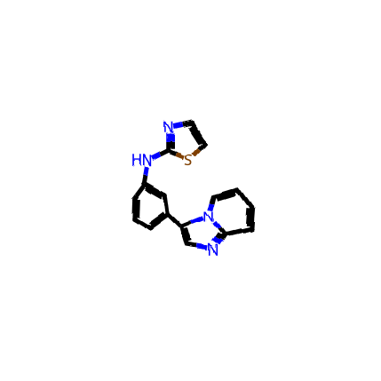 c1cc(Nc2nccs2)cc(-c2cnc3ccccn23)c1